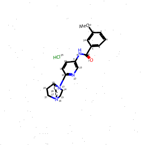 COc1cccc(C(=O)Nc2ccc(N3CCN4CCC3CC4)nc2)c1.Cl